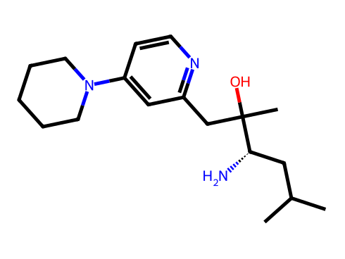 CC(C)C[C@H](N)C(C)(O)Cc1cc(N2CCCCC2)ccn1